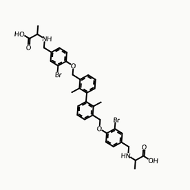 Cc1c(COc2ccc(CNC(C)C(=O)O)cc2Br)cccc1-c1cccc(COc2ccc(CNC(C)C(=O)O)cc2Br)c1C